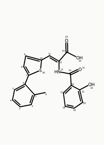 Cc1ccccc1-c1ccc(C=C(NC(=O)c2ccccc2O)C(=O)O)s1